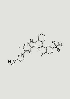 CCS(=O)(=O)c1ccc(F)c(C(=O)N2CCCCC2c2cc3nc(N4CCC(N)C4)c(C)cn3n2)c1